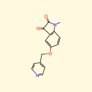 CN1C(=O)C(=O)c2cc(OCc3ccncc3)ccc21